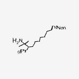 CCCCCCCCCCCCCCCCC(CCC)C(C)(C)N